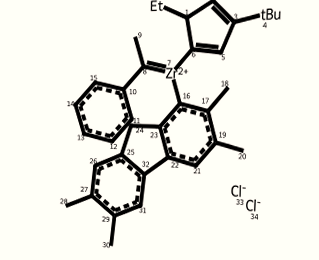 CCC1C=C(C(C)(C)C)C=[C]1/[Zr+2](=[C](\C)c1ccccc1)[c]1c(C)c(C)cc2c1Cc1cc(C)c(C)cc1-2.[Cl-].[Cl-]